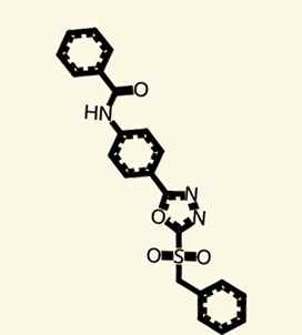 O=C(Nc1ccc(-c2nnc(S(=O)(=O)Cc3ccccc3)o2)cc1)c1ccccc1